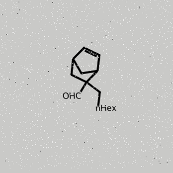 CCCCCCCC1(C=O)CC2C=CC1C2